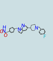 O=C(NO)c1ccc(Cn2ccc3cc(C4CCN(Cc5ccc(F)cc5)CC4)cnc32)cc1